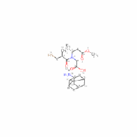 COC(=O)C[C@@H](C)N(CC(=O)O)C(=O)C(C)CS.NC12CC3CC(CC(C3)C1)C2